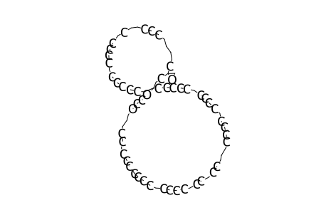 C1CCCCCCCCCCCCCCCCCCCCCC2(CCCCCCCCCCCCCCCCCCCCCCCC3(CC2)CO3)OCCOCCCCCCCCCCCCCCCCCCCC1